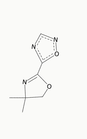 CC1(C)COC(c2ncno2)=N1